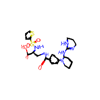 O=C(NC[C@H](NS(=O)(=O)c1cccs1)C(=O)O)c1ccc(N2CCCCC2NC2=NCCCN2)cc1